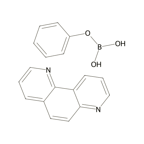 OB(O)Oc1ccccc1.c1cnc2c(c1)ccc1ncccc12